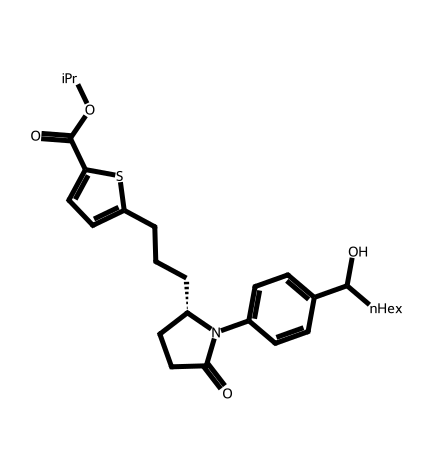 CCCCCCC(O)c1ccc(N2C(=O)CC[C@@H]2CCCc2ccc(C(=O)OC(C)C)s2)cc1